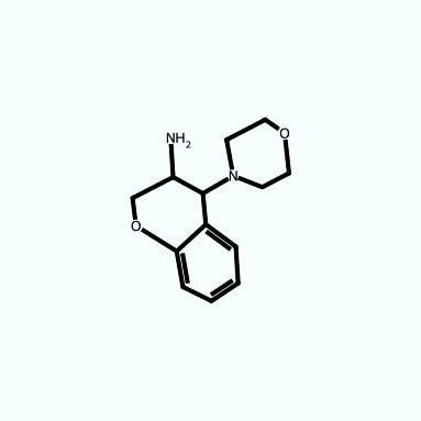 NC1COc2ccccc2C1N1CCOCC1